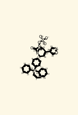 C/C=C\[P+](c1ccccc1)(c1ccccc1)c1ccccc1.O=C1N2CC=C(c3cnoc3)C(C2)N1OS(=O)(=O)[O-]